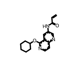 C=CC(=O)Nc1cnc2ccnc(OC3CCCCC3)c2c1